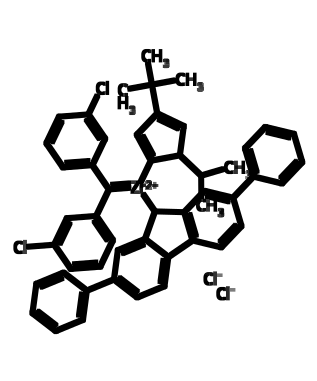 CC(C)C1C=C(C(C)(C)C)C=[C]1[Zr+2](=[C](c1cccc(Cl)c1)c1cccc(Cl)c1)[CH]1c2cc(-c3ccccc3)ccc2-c2ccc(-c3ccccc3)cc21.[Cl-].[Cl-]